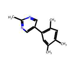 Cc1ncc(-c2cc(C)c(C)cc2C)cn1